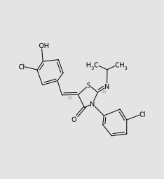 CC(C)/N=C1\S/C(=C\c2ccc(O)c(Cl)c2)C(=O)N1c1cccc(Cl)c1